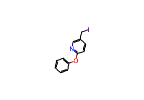 ICc1ccc(Oc2ccccc2)nc1